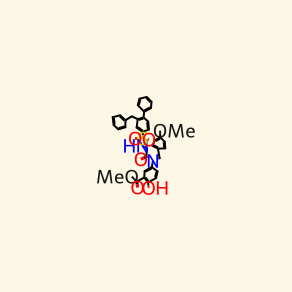 COC(=O)c1cc(N(Cc2ccc(OC)cc2)C(=O)CNS(=O)(=O)c2ccc(-c3ccccc3)c(Cc3ccccc3)c2)ccc1O